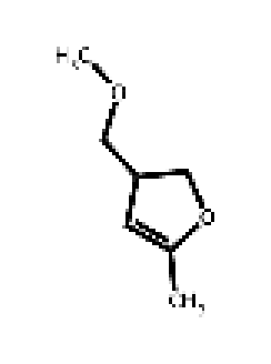 COCC1C=C(C)OC1